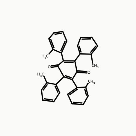 Cc1ccccc1C1=C(c2ccccc2C)C(=O)C(c2ccccc2C)=C(c2ccccc2C)C1=O